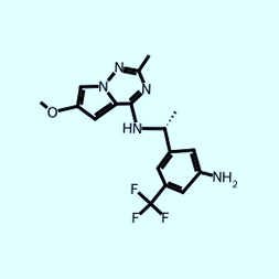 COc1cc2c(N[C@H](C)c3cc(N)cc(C(F)(F)F)c3)nc(C)nn2c1